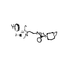 N[C@@H](CCNC(=O)N1CCCOCC1)C(=O)O